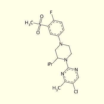 Cc1nc(N2CCN(c3ccc(F)c(S(C)(=O)=O)c3)CC2C(C)C)ncc1Cl